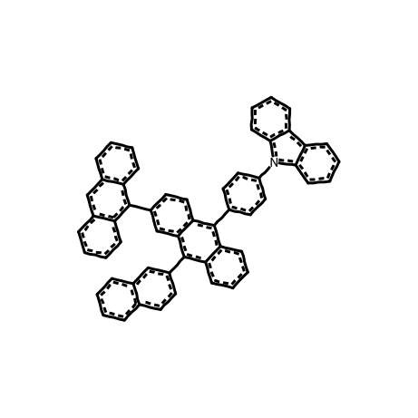 c1ccc2cc(-c3c4ccccc4c(-c4ccc(-n5c6ccccc6c6ccccc65)cc4)c4ccc(-c5c6ccccc6cc6ccccc56)cc34)ccc2c1